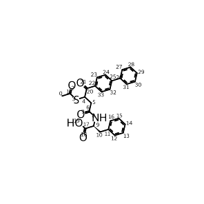 CC(=O)SC(CC(=O)N[C@@H](Cc1ccccc1)C(=O)O)C(=O)c1ccc(-c2ccccc2)cc1